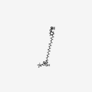 C[N+](C)(C)CCOP(=O)(O)OCCCCCCCCCCCCCCCCCCc1ccc(OBO)cc1